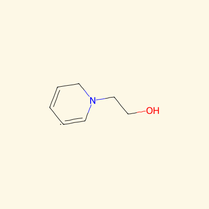 OCCN1C=[C]C=CC1